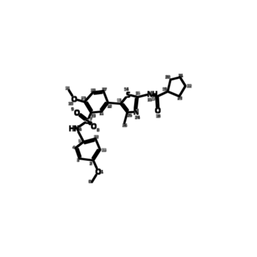 COc1ccc(NS(=O)(=O)c2cc(-c3sc(NC(=O)C4CCCC4)nc3C)ccc2OC)cc1